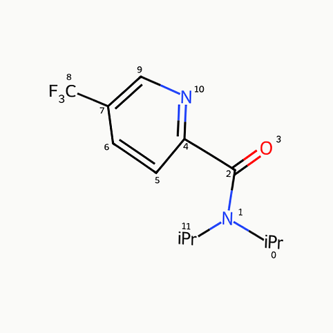 CC(C)N(C(=O)c1ccc(C(F)(F)F)cn1)C(C)C